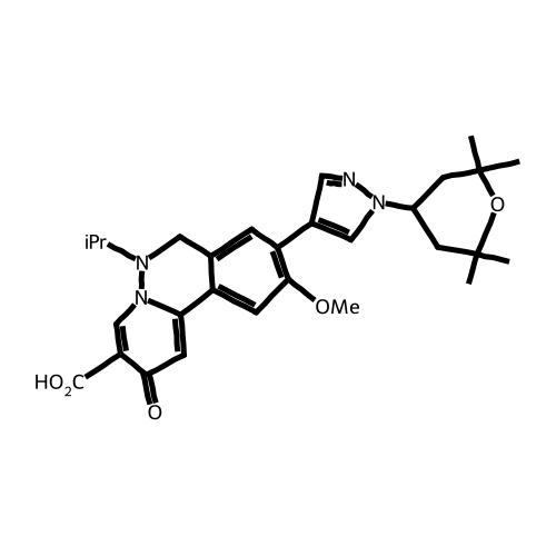 COc1cc2c(cc1-c1cnn(C3CC(C)(C)OC(C)(C)C3)c1)CN(C(C)C)n1cc(C(=O)O)c(=O)cc1-2